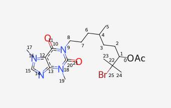 CC(=O)OC(CCC(C)CCCn1c(=O)c2c(ncn2C)n(C)c1=O)C(C)(C)Br